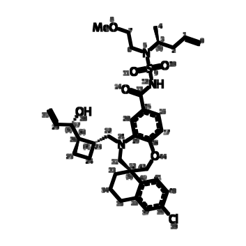 C=CC[C@H](C)N(CCOC)S(=O)(=O)NC(=O)c1ccc2c(c1)N(C[C@@H]1CC[C@H]1[C@@H](O)C=C)C[C@@]1(CCCc3cc(Cl)ccc31)CO2